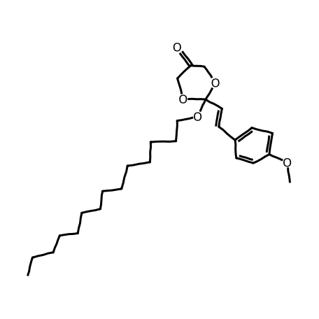 CCCCCCCCCCCCCCOC1(/C=C/c2ccc(OC)cc2)OCC(=O)CO1